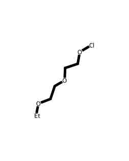 CCOCCOCCOCl